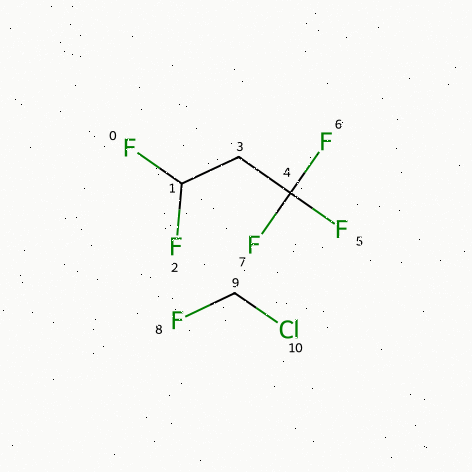 FC(F)CC(F)(F)F.FCCl